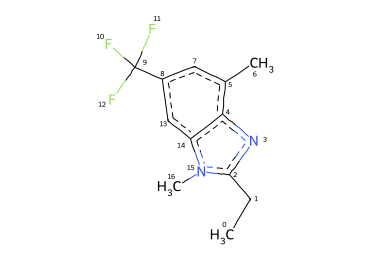 CCc1nc2c(C)cc(C(F)(F)F)cc2n1C